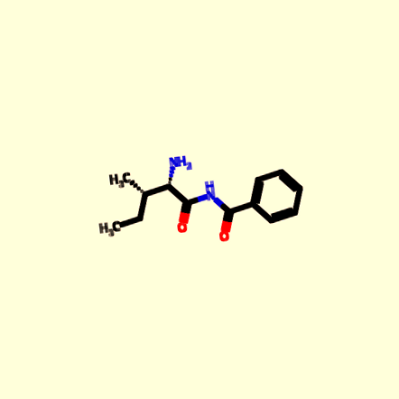 CC[C@H](C)[C@H](N)C(=O)NC(=O)c1ccccc1